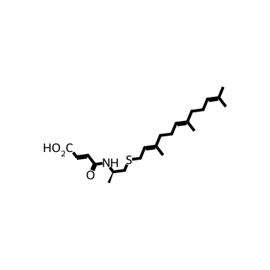 CC(C)=CCC/C(C)=C/CC/C(C)=C/CSC[C@@H](C)NC(=O)/C=C/C(=O)O